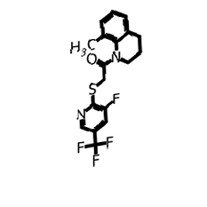 Cc1cccc2c1N(C(=O)CSc1ncc(C(F)(F)F)cc1F)CCC2